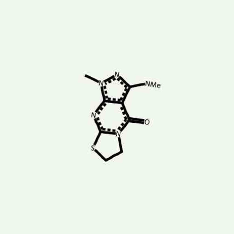 CNc1nn(C)c2nc3n(c(=O)c12)CCS3